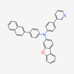 c1cncc(-c2ccc(N(c3ccc(-c4ccc5ccccc5c4)cc3)c3ccc4c(c3)oc3ccccc34)cc2)c1